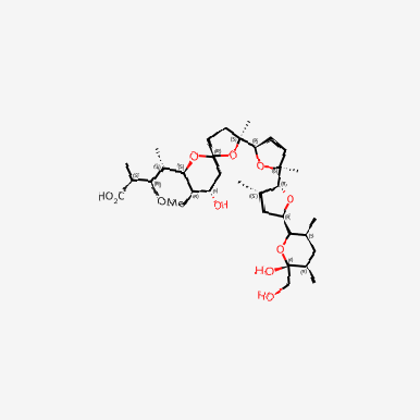 CO[C@H]([C@H](C)[C@H]1O[C@@]2(CC[C@@](C)([C@H]3CC[C@@](C)([C@@H]4O[C@@H](C5O[C@@](O)(CO)[C@H](C)C[C@@H]5C)C[C@@H]4C)O3)O2)C[C@H](O)[C@H]1C)[C@H](C)C(=O)O